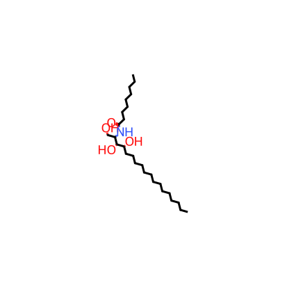 CCCCCCCCCCCCCCC(O)C(O)C(CO)NC(=O)CCCCCCCC